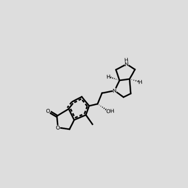 Cc1c([C@@H](O)CN2CC[C@@H]3CNC[C@@H]32)ccc2c1COC2=O